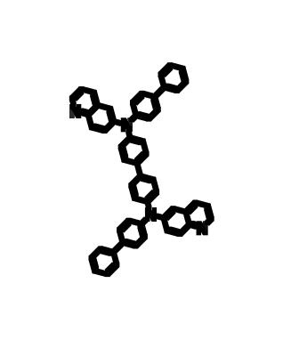 c1ccc(-c2ccc(N(c3ccc(-c4ccc(N(c5ccc(-c6ccccc6)cc5)c5ccc6ncccc6c5)cc4)cc3)c3ccc4ncccc4c3)cc2)cc1